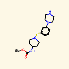 CC(C)(C)OC(=O)NC1CCN(Sc2cccc(N3CCNCC3)c2)CC1